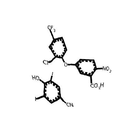 N#Cc1cc(I)c(O)c(I)c1.O=C(O)c1cc(Oc2ccc(C(F)(F)F)cc2Cl)ccc1[N+](=O)[O-]